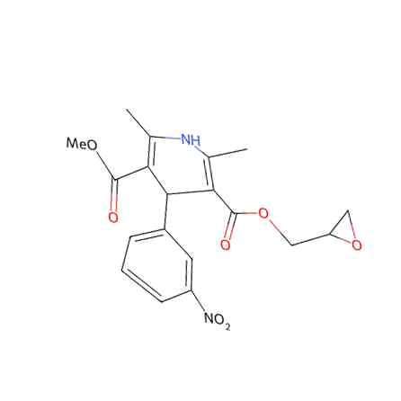 COC(=O)C1=C(C)NC(C)=C(C(=O)OCC2CO2)C1c1cccc([N+](=O)[O-])c1